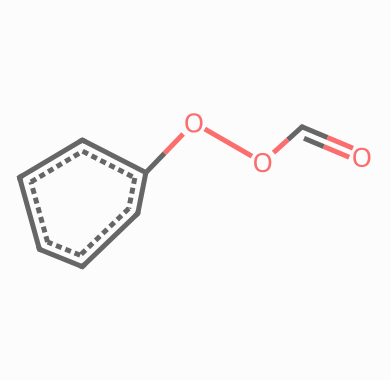 O=COOc1ccccc1